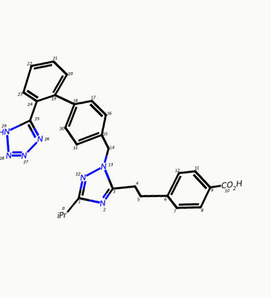 CC(C)c1nc(CCc2ccc(C(=O)O)cc2)n(Cc2ccc(-c3ccccc3-c3nnn[nH]3)cc2)n1